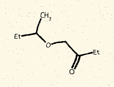 CCC(=O)COC(C)CC